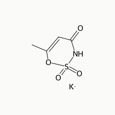 CC1=CC(=O)NS(=O)(=O)O1.[K]